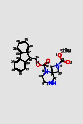 CC(C)(C)OC(=O)N1CC2(CNCCN2C(=O)OCC2c3ccccc3-c3ccccc32)C1